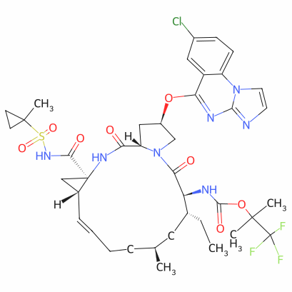 CC[C@@H]1C[C@@H](C)CC/C=C\[C@@H]2C[C@@]2(C(=O)NS(=O)(=O)C2(C)CC2)NC(=O)[C@@H]2C[C@@H](Oc3nc4nccn4c4ccc(Cl)cc34)CN2C(=O)[C@H]1NC(=O)OC(C)(C)C(F)(F)F